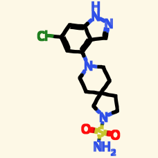 NS(=O)(=O)N1CCC2(CCN(c3cc(Cl)cc4[nH]ncc34)CC2)C1